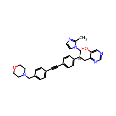 Cc1nccn1C[C@@H](Cc1ncncc1O)c1ccc(C#Cc2ccc(CN3CCOCC3)cc2)cc1